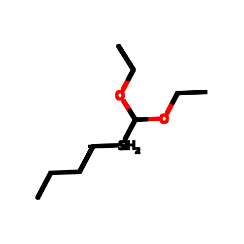 CCC[CH][SiH2]C(OCC)OCC